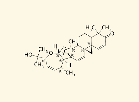 C[C@@H]1C=C[C@H](C(C)(C)O)O[C@H]2C[C@@]3(C)C4CCC5C(C)(C)C(=O)C=C[C@@]56C[C@@]46C=C[C@]3(C)[C@@H]12